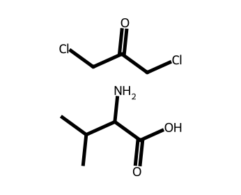 CC(C)C(N)C(=O)O.O=C(CCl)CCl